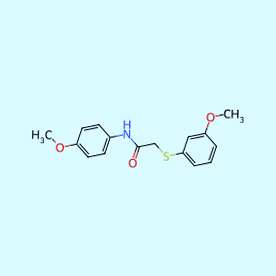 COc1ccc(NC(=O)CSc2cccc(OC)c2)cc1